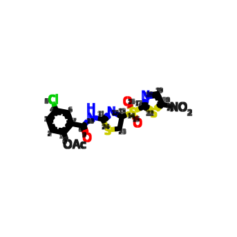 CC(=O)Oc1ccc(Cl)cc1C(=O)NC1=NC(S(=O)(=O)c2ncc([N+](=O)[O-])s2)CS1